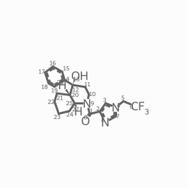 O=C(c1cn(CC(F)(F)F)cn1)N1CC[C@](O)(c2ccccc2)[C@H]2CCCC[C@H]21